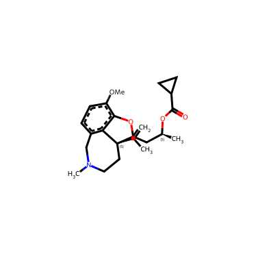 C=C(C)[C@@]12CCN(C)Cc3ccc(OC)c(c31)OC2C[C@H](C)OC(=O)C1CC1